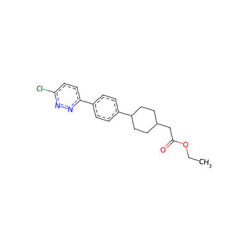 CCOC(=O)CC1CCC(c2ccc(-c3ccc(Cl)nn3)cc2)CC1